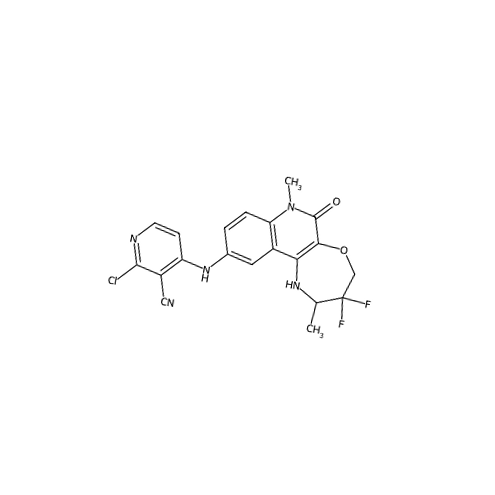 CC1Nc2c(c(=O)n(C)c3ccc(Nc4ccnc(Cl)c4C#N)cc23)OCC1(F)F